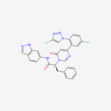 O=C(Nc1ccc2cn[nH]c2c1)[C@H](Cc1ccccc1)n1cnc(-c2cc(Cl)ccc2-n2cc(Cl)nn2)cc1=O